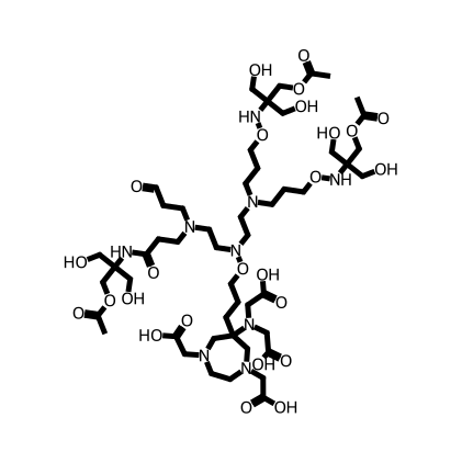 CC(=O)OCC(CO)(CO)NOCCCN(CCCONC(CO)(CO)COC(C)=O)CCN(CCN(CCC=O)CCC(=O)NC(CO)(CO)COC(C)=O)OCCCC1(N(CC(=O)O)CC(=O)O)CN(CC(=O)O)CCN(CC(=O)O)C1